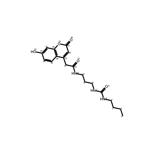 CCCCNC(=O)NCCCNC(=O)Cc1cc(=O)oc2cc(O)ccc12